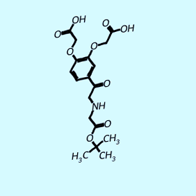 CC(C)(C)OC(=O)CNCC(=O)c1ccc(OCC(=O)O)c(OCC(=O)O)c1